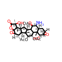 CC(=O)O[C@H]1[C@@H]2[C@H]([C@H](C)[C@H]3O[C@]34OC(=O)[C@@](C)(O)[C@]24C)[C@]2(C)[C@@H]1C1C(=O)[C@@H](N)[C@H]3C[C@@H]4O[C@@H]4[C@H](O)[C@]3(C)C1[C@H](OC(C)=O)[C@@H]2OC(C)=O